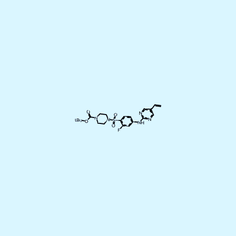 C=Cc1cnc(Nc2ccc(S(=O)(=O)N3CCN(C(=O)OC(C)(C)C)CC3)c(F)c2)nc1